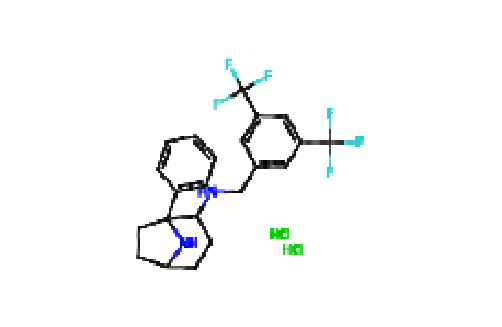 Cl.Cl.FC(F)(F)c1cc(CNC2CCC3CCC2(c2ccccc2)N3)cc(C(F)(F)F)c1